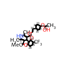 COC(=O)C1=C(C)NC(C)=C(C(=O)OCCc2ccc(OC(C)O)cc2)C1c1cccc(C(F)(F)F)c1